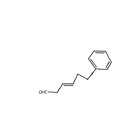 O=CCC=CCCc1ccccc1